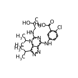 CC(O)CNc1nc(Nc2ccc(Cl)c(C(=O)O)c2)c2nnc(C(C)C)c-2n1C(C)C